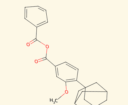 COc1cc(C(=O)OC(=O)c2ccccc2)ccc1C12CC3CC(CC(C3)C1)C2